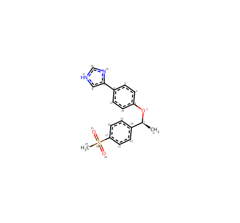 C[C@H](Oc1ccc(-c2c[nH]cn2)cc1)c1ccc(S(C)(=O)=O)cc1